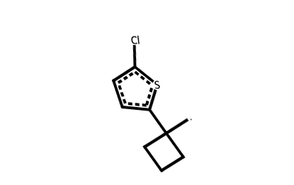 [CH2]C1(c2ccc(Cl)s2)CCC1